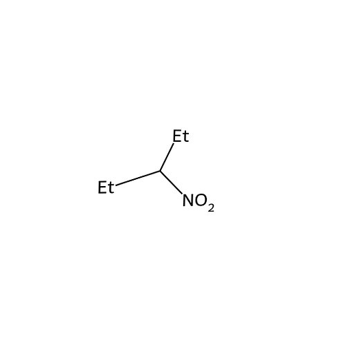 CCC(CC)[N+](=O)[O-]